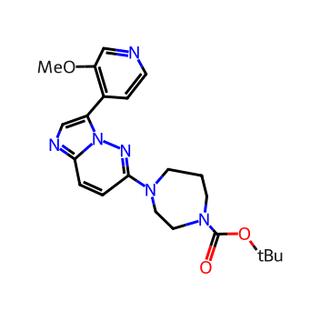 COc1cnccc1-c1cnc2ccc(N3CCCN(C(=O)OC(C)(C)C)CC3)nn12